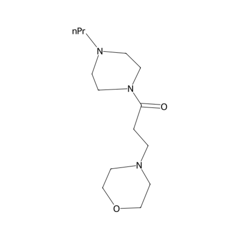 CCCN1CCN(C(=O)CCN2CCOCC2)CC1